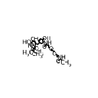 CCC(=O)NCCOCCOCCC(=O)Nc1cc(CC(CC(C)C(=O)O)NC(=O)OC(C)(C)C)ccc1O